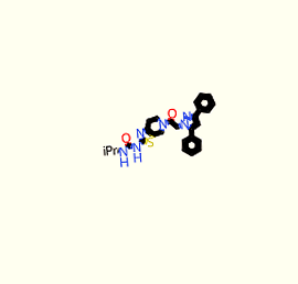 CC(C)NC(=O)Nc1nc2c(s1)CN(C(=O)Cn1nc(-c3ccccc3)cc1-c1ccccc1)CC2